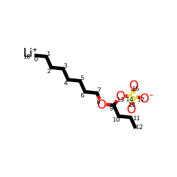 CCCCCCCCOC(CCC)OS(=O)(=O)[O-].[Li+]